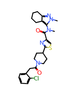 CN(C(=O)c1csc(C2CCN(C(=O)Cc3ccccc3Cl)CC2)n1)c1c2c(nn1C)CCCC2